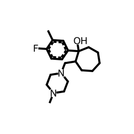 Cc1cc(C2(O)CCCCCC2CN2CCN(C)CC2)ccc1F